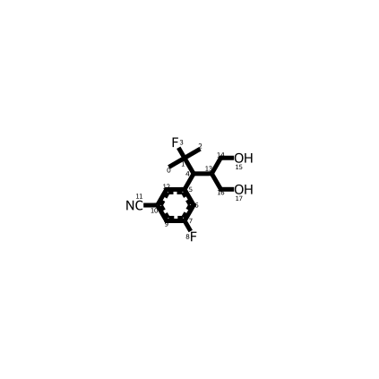 CC(C)(F)C(c1cc(F)cc(C#N)c1)C(CO)CO